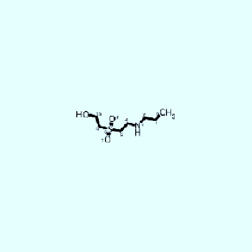 CCCNCCS(=O)(=O)CCO